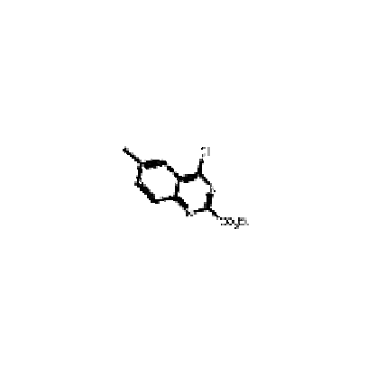 CCOC(=O)c1nc(Cl)c2cc(C)ccc2n1